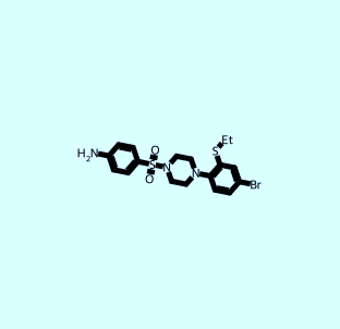 CCSc1cc(Br)ccc1N1CCN(S(=O)(=O)c2ccc(N)cc2)CC1